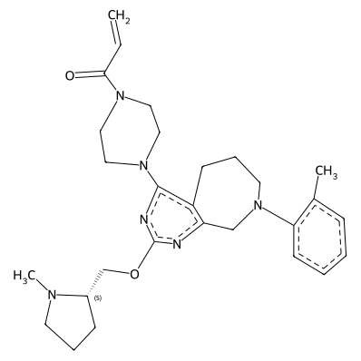 C=CC(=O)N1CCN(c2nc(OC[C@@H]3CCCN3C)nc3c2CCCN(c2ccccc2C)C3)CC1